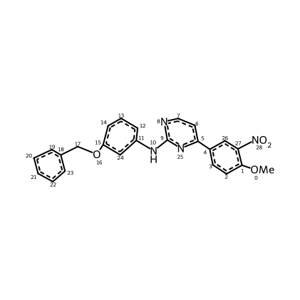 COc1ccc(-c2ccnc(Nc3cccc(OCc4ccccc4)c3)n2)cc1[N+](=O)[O-]